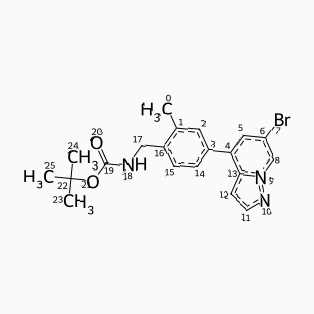 Cc1cc(-c2cc(Br)cn3nccc23)ccc1CNC(=O)OC(C)(C)C